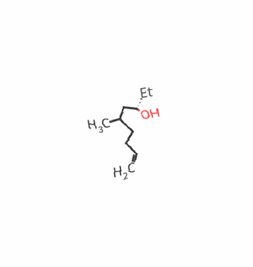 C=CCCC(C)C[C@@H](O)CC